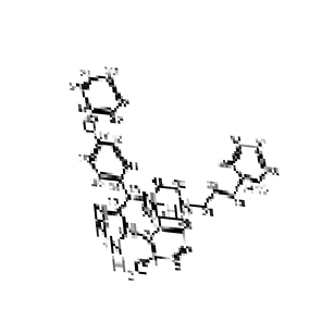 Cc1cccc(C)c1-n1nnnc1[C@@H](c1ccc(Oc2ccccc2)cc1)N1CCN(C/C=C/c2ccccc2)CC1